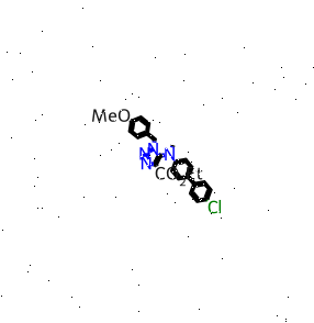 CCOC(=O)c1nnn(Cc2ccc(OC)cc2)c1N(C)c1ccc(-c2ccc(Cl)cc2)cc1